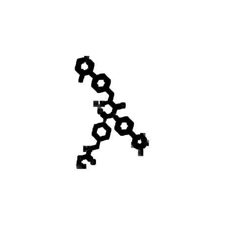 Cc1ccncc1-c1ccc(C[C@H](N)C(=O)N(c2ccc(-c3nn[nH]n3)cc2)C(=O)[C@H]2CC[C@H](CNC(=O)OC(C)(C)C)CC2)cc1